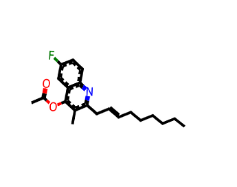 CCCCCCC=CCc1nc2ccc(F)cc2c(OC(C)=O)c1C